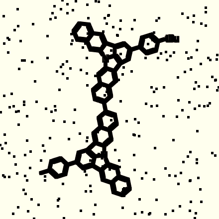 Cc1ccc(-c2cc3c4cc5ccccc5cc4n4c5cc6ccc(-c7ccc8cc9c(cc8c7)c7cc(-c8ccc(C(C)(C)C)cc8)cc8c%10cc%11ccccc%11cc%10n9c87)cc6cc5c(c2)c34)cc1